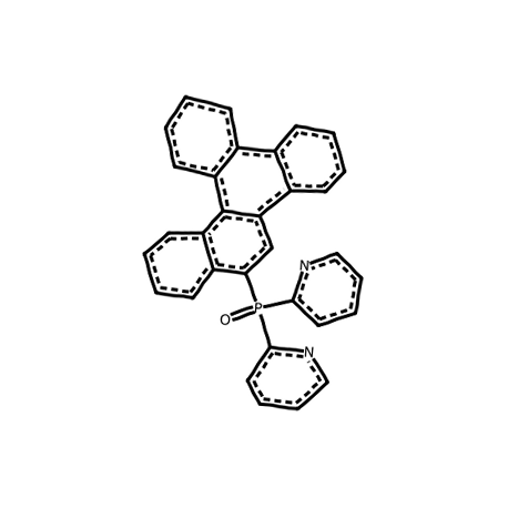 O=P(c1ccccn1)(c1ccccn1)c1cc2c3ccccc3c3ccccc3c2c2ccccc12